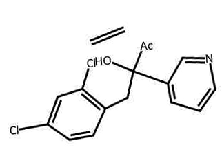 C=C.CC(=O)C(O)(Cc1ccc(Cl)cc1Cl)c1cccnc1